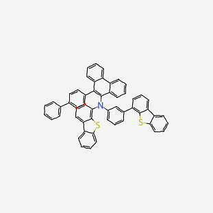 c1ccc(-c2ccc(-c3c(N(c4cccc(-c5cccc6c5sc5ccccc56)c4)c4cccc5c4sc4ccccc45)c4ccccc4c4ccccc34)cc2)cc1